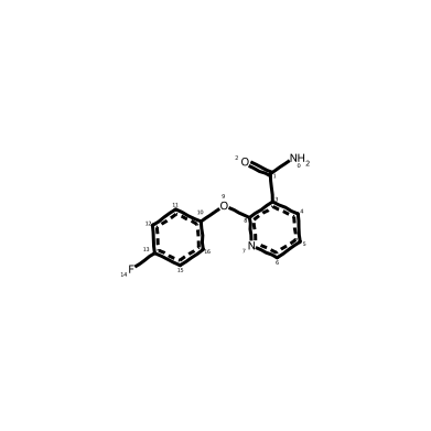 NC(=O)c1cccnc1Oc1ccc(F)cc1